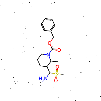 CC1C(C(N)S(C)(=O)=O)CCCN1C(=O)OCc1ccccc1